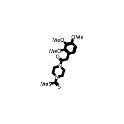 COc1ccc(CC(=O)N2CCN(C(=S)SC)CC2)c(OC)c1OC